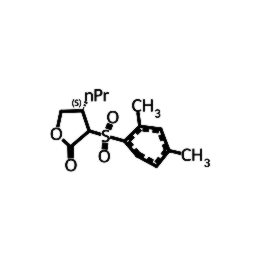 CCC[C@H]1COC(=O)C1S(=O)(=O)c1ccc(C)cc1C